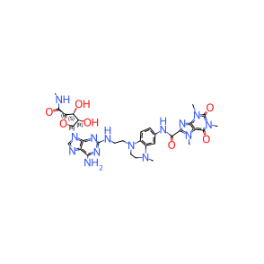 CNC(=O)[C@@H]1O[C@@H](n2cnc3c(N)nc(NCCN4CCN(C)c5cc(NC(=O)c6nc7c(c(=O)n(C)c(=O)n7C)n6C)ccc54)nc32)[C@H](O)[C@@H]1O